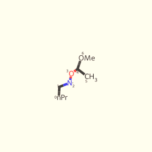 CCCC[N]OC(C)OC